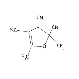 N#CC1=C(C(F)(F)F)OC(C#N)(C(F)(F)F)C1C#N